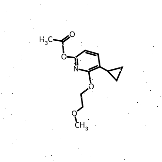 COCCOc1nc(OC(C)=O)ccc1C1CC1